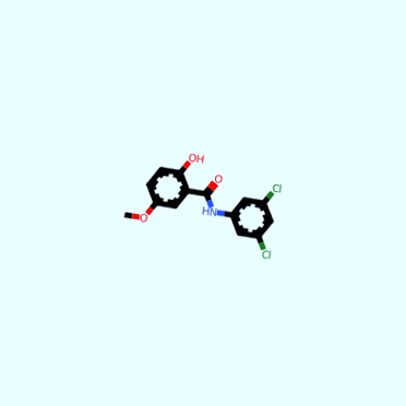 COc1ccc(O)c(C(=O)Nc2cc(Cl)cc(Cl)c2)c1